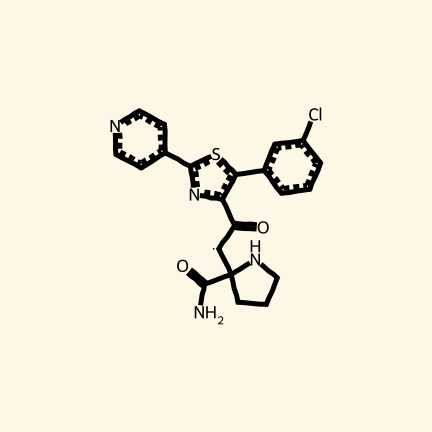 NC(=O)C1([CH]C(=O)c2nc(-c3ccncc3)sc2-c2cccc(Cl)c2)CCCN1